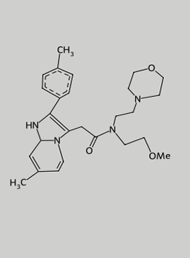 COCCN(CCN1CCOCC1)C(=O)CC1=C(c2ccc(C)cc2)NC2C=C(C)C=CN12